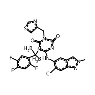 BC(B)(c1cc(F)c(F)cc1F)n1c(Nc2cc3cn(C)nc3cc2Cl)nc(=O)n(Cc2cscn2)c1=O